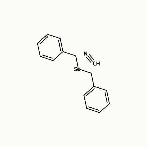 C#N.c1ccc(C[Se]Cc2ccccc2)cc1